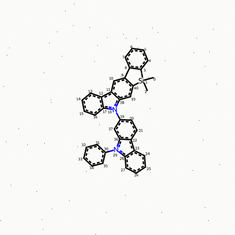 C[Si]1(C)c2ccccc2-c2cc3c4ccccc4n(-c4ccc5c6ccccc6n(-c6ccccc6)c5c4)c3cc21